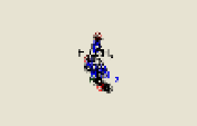 CC(C)(C/C=C(\C#N)C(=O)N1CCC[C@@H](n2nc(-c3ccc(Oc4ccccc4)cc3F)c3c(N)ncnc32)C1)N1CCN(C2COC2)CC1